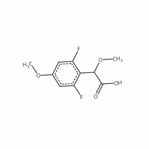 COc1cc(F)c(C(OC)C(=O)O)c(F)c1